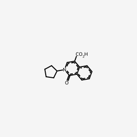 O=C(O)c1cn(C2CCCC2)c(=O)c2ccccc12